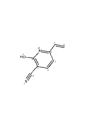 C=Cc1ccc(C#N)c(O)n1